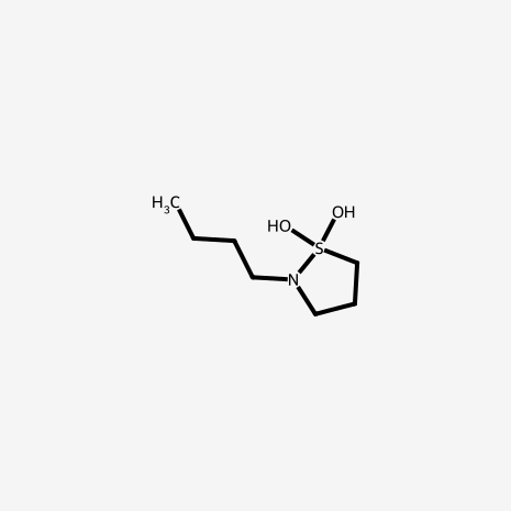 CCCCN1CCCS1(O)O